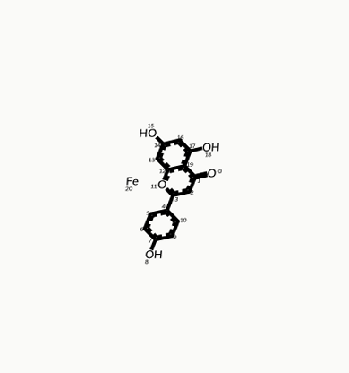 O=c1cc(-c2ccc(O)cc2)oc2cc(O)cc(O)c12.[Fe]